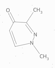 Cc1nn(C)ccc1=O